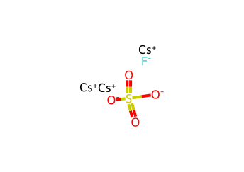 O=S(=O)([O-])[O-].[Cs+].[Cs+].[Cs+].[F-]